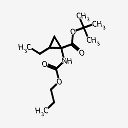 CCCOC(=O)NC1(C(=O)OC(C)(C)C)CC1CC